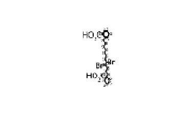 O=C(O)c1ccccc1CCCCCCCC(Br)C(Br)CCCC1(C(=O)O)CCCC1